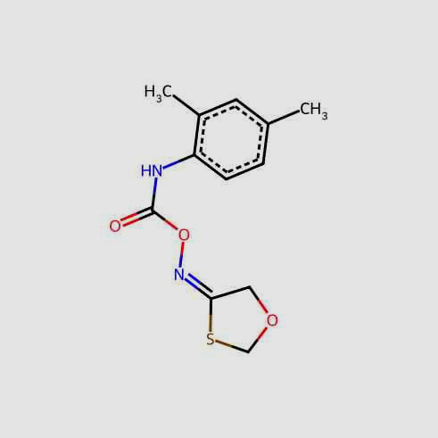 Cc1ccc(NC(=O)ON=C2COCS2)c(C)c1